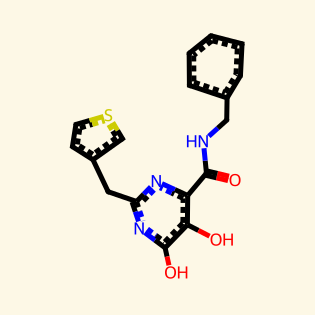 O=C(NCc1ccccc1)c1nc(Cc2ccsc2)nc(O)c1O